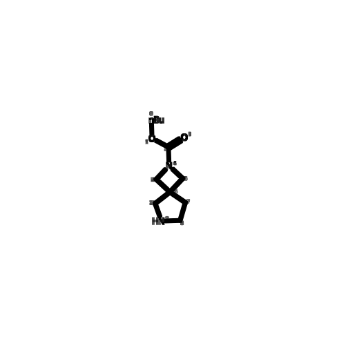 CCCCOC(=O)N1CC2(CCNC2)C1